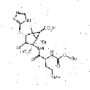 CCC1[C@H](Sc2nnc[nH]2)[C@@H]2[C@@H](C(=O)O)[C@@]2(CC)[C@]1(NC(=O)[C@H](CCSC)NC(=O)OC(C)(C)C)C(=O)O